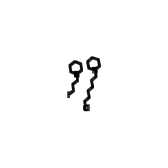 ClCCCCCCN1CCCCC1.ICCCN1CCCCC1